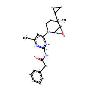 Cc1cc(N2CC[C@@](C#N)(C3CC3)C3OC32)nc(NC(=O)Cc2ccccc2)n1